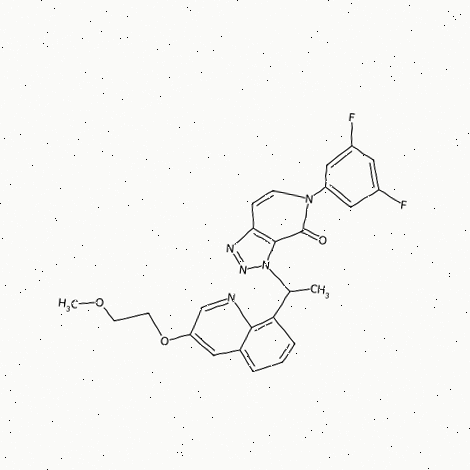 COCCOc1cnc2c(C(C)n3nnc4ccn(-c5cc(F)cc(F)c5)c(=O)c43)cccc2c1